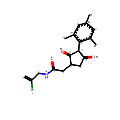 C=C(Br)CNC(=O)CC1CC(=O)C(c2c(C)cc(C)cc2C)C1=O